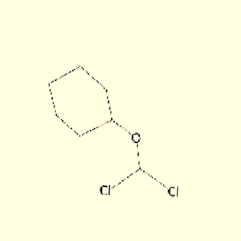 ClC(Cl)OC1CCCCC1